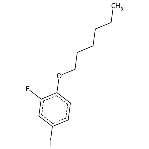 CCCCCCOc1ccc(I)cc1F